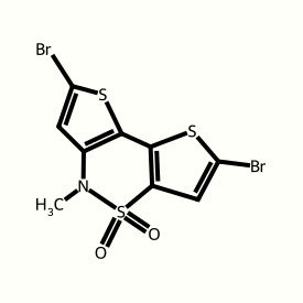 CN1c2cc(Br)sc2-c2sc(Br)cc2S1(=O)=O